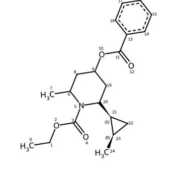 CCOC(=O)N1C(C)CC(OC(=O)c2ccccc2)CC1[C@H]1C[C@H]1C